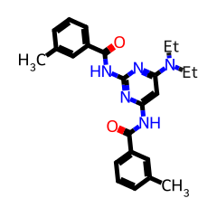 CCN(CC)c1cc(NC(=O)c2cccc(C)c2)nc(NC(=O)c2cccc(C)c2)n1